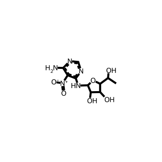 CC(O)C1OC(Nc2ncnc(N)c2[N+](=O)[O-])C(O)C1O